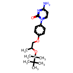 CC(COc1ccc(-n2ccc(N)nc2=O)cc1)O[Si](C)(C)C(C)(C)C